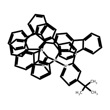 CC(C)(C)c1cc[n+]2c(c1)-n1c3ccccc3c3ccc4c(c31)[N+]21c2c(cccc2-[n+]2c1n(-c1c(-c3ccccc3)cccc1-c1ccccc1)c1ccccc12)-c1c-4c2ccccc2c2ccccc12